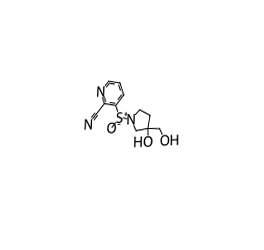 N#Cc1ncccc1[S+]([O-])N1CCC(O)(CO)C1